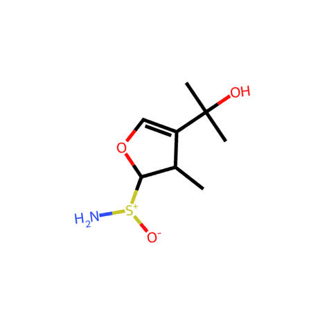 CC1C(C(C)(C)O)=COC1[S+](N)[O-]